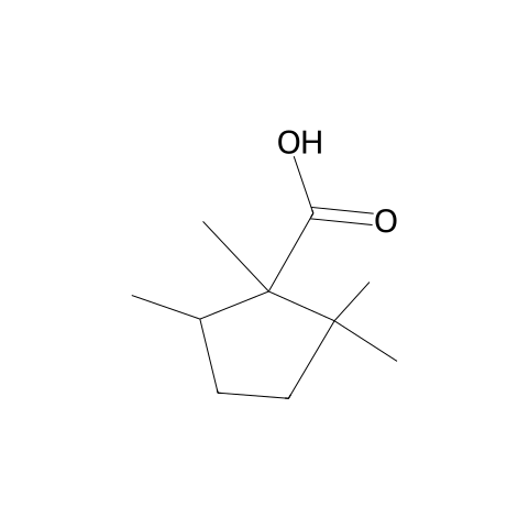 CC1CCC(C)(C)C1(C)C(=O)O